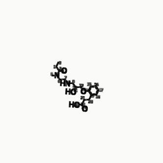 CCC(=O)N(C)CCNCC(O)COc1ccccc1CCC(=O)O